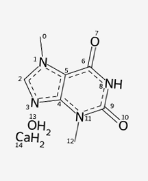 Cn1cnc2c1c(=O)[nH]c(=O)n2C.O.[CaH2]